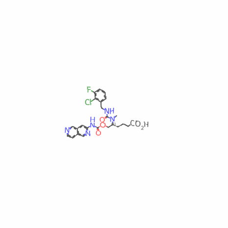 CN(C(=O)NCc1cccc(F)c1Cl)[C@@H](CCCC(=O)O)COC(=O)Nc1cc2cnccc2cn1